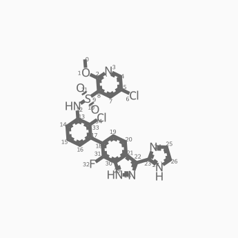 COc1ncc(Cl)cc1S(=O)(=O)Nc1cccc(-c2ccc3c(-c4ncc[nH]4)n[nH]c3c2F)c1Cl